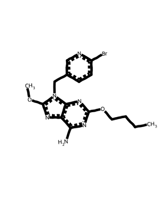 CCCCOc1nc(N)c2nc(OC)n(Cc3ccc(Br)nc3)c2n1